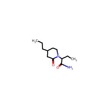 CCCC1CCN(C(CC)C(N)=O)C(=O)C1